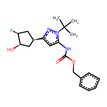 CC(C)(C)n1nc([C@H]2C[C@@H](O)[C@@H](F)C2)cc1NC(=O)OCc1ccccc1